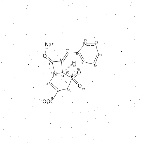 O=C([O-])C1=CN2C(=O)C(=Cc3ccccn3)[C@H]2S(=O)(=O)C1.[Na+]